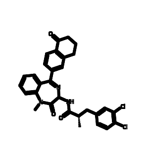 C[C@@H](Cc1ccc(Cl)c(Cl)c1)C(=O)NC1N=C(c2ccc3c(c2)CCCC3=O)c2ccccc2N(C)C1=O